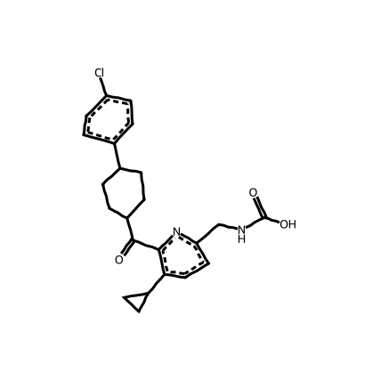 O=C(O)NCc1ccc(C2CC2)c(C(=O)C2CCC(c3ccc(Cl)cc3)CC2)n1